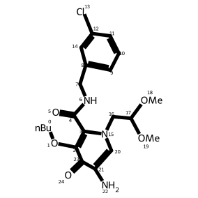 CCCCOc1c(C(=O)NCc2cccc(Cl)c2)n(CC(OC)OC)cc(N)c1=O